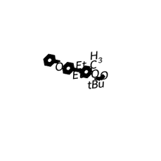 CCC(CC)(c1ccc(OCc2ccccc2)cc1)c1ccc(OCC(=O)C(C)(C)C)c(C)c1